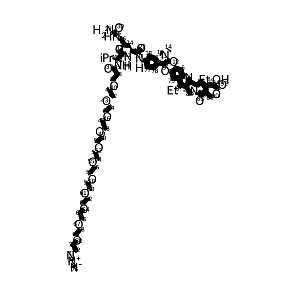 CCc1c2c(nc3ccc(OC(C(=O)N(C)C)c4ccc(NC(=O)[C@H](CCCNC(N)=O)NC(=O)[C@@H](NC(=O)CCOCCOCCOCCOCCOCCOCCOCCOCCOCCOCCOCCN=[N+]=[N-])C(C)C)cc4)cc13)-c1cc3c(c(=O)n1C2)COC(=O)[C@]3(O)CC